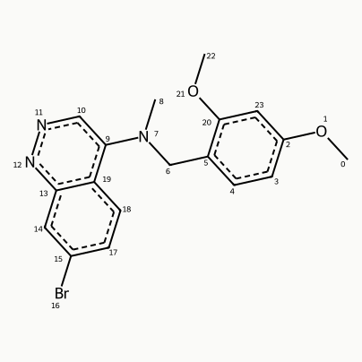 COc1ccc(CN(C)c2cnnc3cc(Br)ccc23)c(OC)c1